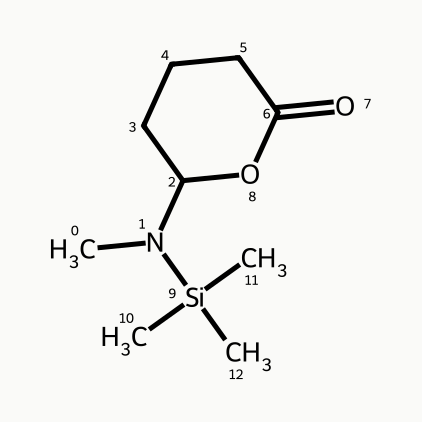 CN(C1CCCC(=O)O1)[Si](C)(C)C